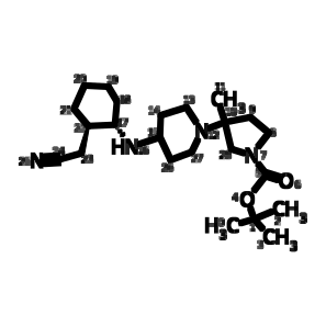 CC(C)(C)OC(=O)N1CCC(C)(N2CCC(N[C@H]3CCCC[C@@H]3CC#N)CC2)C1